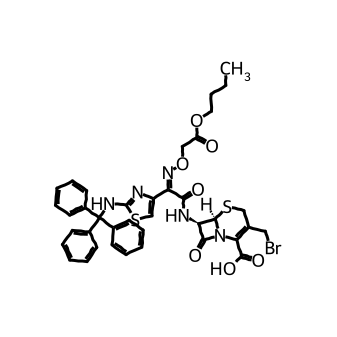 CCCCOC(=O)CO/N=C(\C(=O)N[C@@H]1C(=O)N2C(C(=O)O)=C(CBr)CS[C@H]12)c1csc(NC(c2ccccc2)(c2ccccc2)c2ccccc2)n1